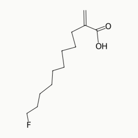 C=C(CCCCCCCCCF)C(=O)O